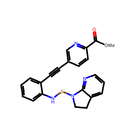 COC(=O)c1ccc(C#Cc2ccccc2NSN2CCc3cccnc32)cn1